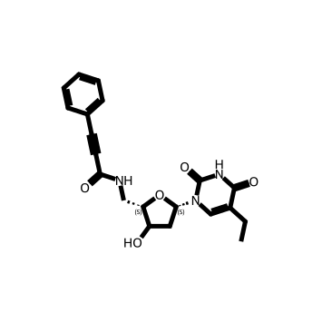 CCc1cn([C@@H]2CC(O)[C@H](CNC(=O)C#Cc3ccccc3)O2)c(=O)[nH]c1=O